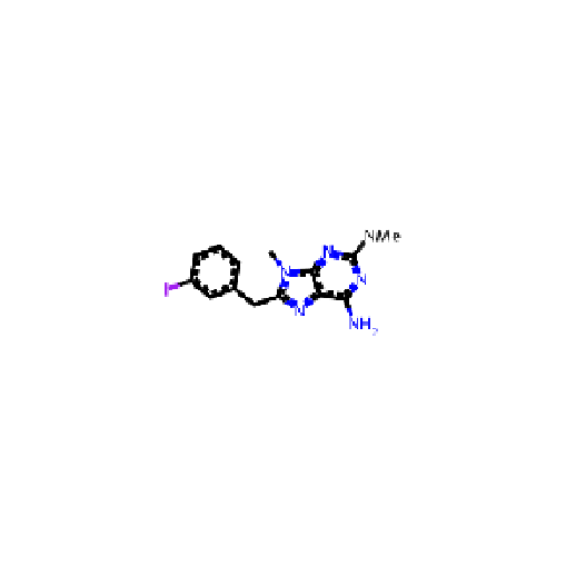 CNc1nc(N)c2nc(Cc3cccc(I)c3)n(C)c2n1